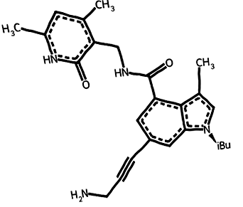 CC[C@H](C)n1cc(C)c2c(C(=O)NCc3c(C)cc(C)[nH]c3=O)cc(C#CCN)cc21